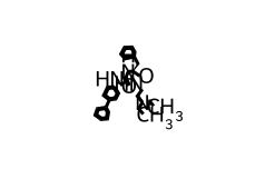 CCN(CC)CCNC(=O)[C@H](Cc1ccccc1)NC(=O)Nc1ccc(-c2ccccc2)cc1